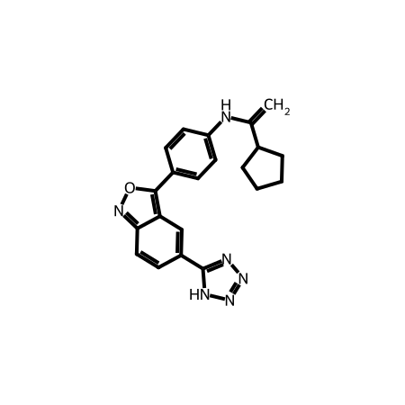 C=C(Nc1ccc(-c2onc3ccc(-c4nnn[nH]4)cc23)cc1)C1CCCC1